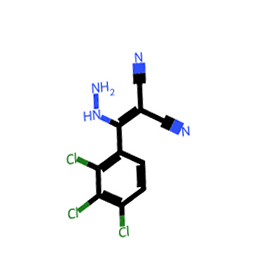 N#CC(C#N)=C(NN)c1ccc(Cl)c(Cl)c1Cl